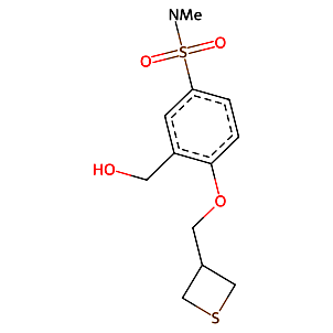 CNS(=O)(=O)c1ccc(OCC2CSC2)c(CO)c1